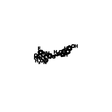 Cn1ncnc1C1c2n[nH]c(=O)c3cc(F)cc(c23)NC1c1ccc(OCCO[C@H]2CC[C@H]3[C@@H]4CCc5cc(O)ccc5[C@H]4CC[C@]23C)cc1